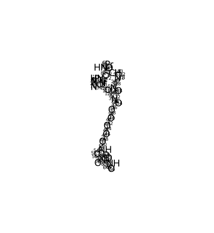 Cc1cc(F)c(Nc2nc(-c3ccc4c(c3)N(C3CC(N5CCCCC5)C3)C(=O)C43CCN(C(=O)CCOCCOCCOCCOCCOCCNc4cccc5c4C(=O)N(C4CCC(=O)NC4=O)C5=O)CC3)cc3ncn(C(C)C)c23)cc1C(=O)NC(C)C